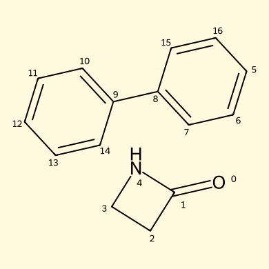 O=C1CCN1.c1ccc(-c2ccccc2)cc1